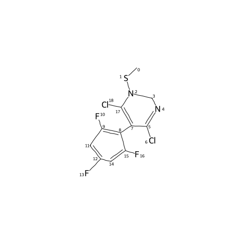 CSN1CN=C(Cl)C(c2c(F)cc(F)cc2F)=C1Cl